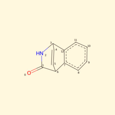 O=C1NC2C=CC1c1ccccc12